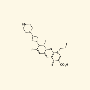 O=C(O)c1cn(CCF)c2nc3c(F)c(N4CC(N5CCNCC5)C4)c(F)cc3cc2c1=O